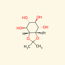 CCC[C@@]12OC(C)(C)O[C@@H]1[C@@H](O)[C@H](O)[C@@H](O)[C@@H]2O